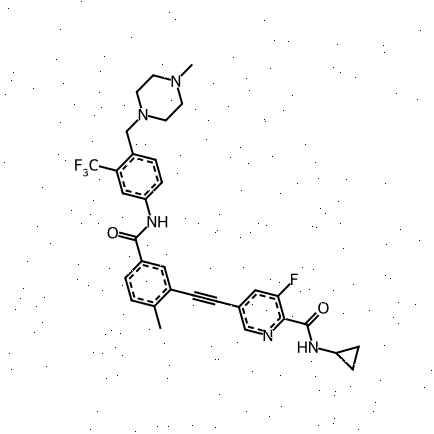 Cc1ccc(C(=O)Nc2ccc(CN3CCN(C)CC3)c(C(F)(F)F)c2)cc1C#Cc1cnc(C(=O)NC2CC2)c(F)c1